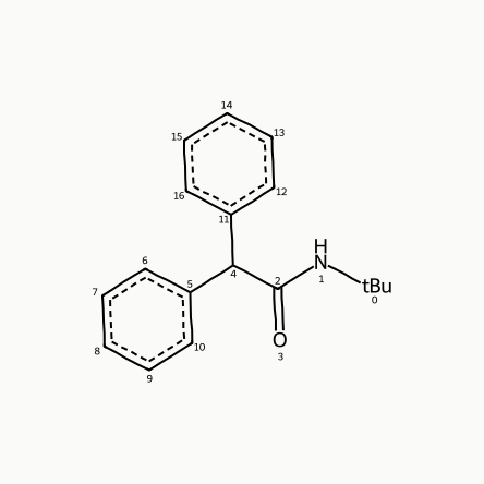 CC(C)(C)NC(=O)C(c1ccccc1)c1ccccc1